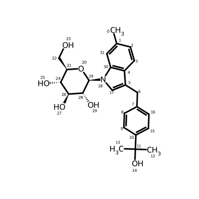 Cc1ccc2c(Cc3ccc(C(C)(C)O)cc3)cn([C@@H]3O[C@H](CO)[C@@H](O)[C@H](O)[C@H]3O)c2c1